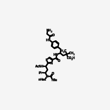 CCCCCCN(C(=O)CCCC)C(CC(NC(C)=O)c1nc(C(=O)NC(Cc2ccc(NC(=O)CN)cc2)CC(C)(C)C(=O)O)cs1)C(C)C